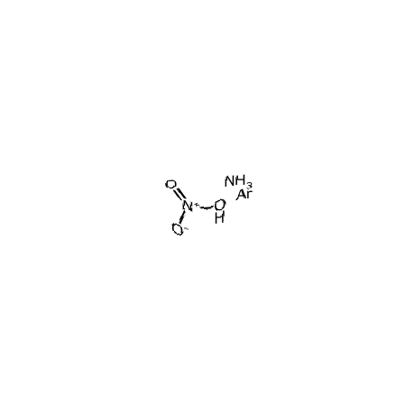 N.O=[N+]([O-])O.[Ar]